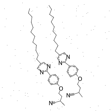 CCCCCCCCCCCCc1cnc(-c2ccc(OCCC(C)C#N)cc2)nc1.CCCCCCCCCCCc1cnc(-c2ccc(OCCC(C)C#N)cc2)nc1